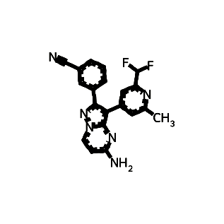 Cc1cc(-c2c(-c3cccc(C#N)c3)nn3ccc(N)nc23)cc(C(F)F)n1